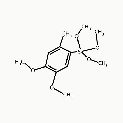 COc1cc(C)c([Si](OC)(OC)OC)cc1OC